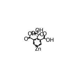 O=C(O)c1cccc(C(=O)O)c1S(=O)(=O)O.[Zn]